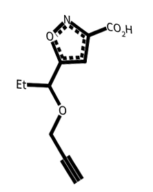 C#CCOC(CC)c1cc(C(=O)O)no1